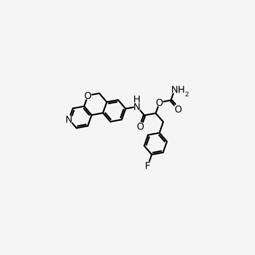 NC(=O)OC(Cc1ccc(F)cc1)C(=O)Nc1ccc2c(c1)COc1cnccc1-2